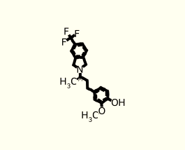 COc1cc(CC[C@@H](C)N2Cc3ccc(C(F)(F)F)cc3C2)ccc1O